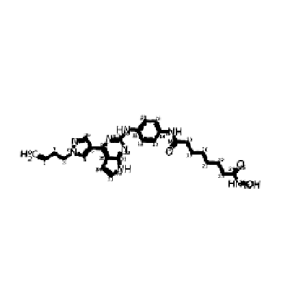 C=CCCn1cc(-c2nc(Nc3ccc(NC(=O)CCCCCCC(=O)NO)cc3)nc3[nH]ccc23)cn1